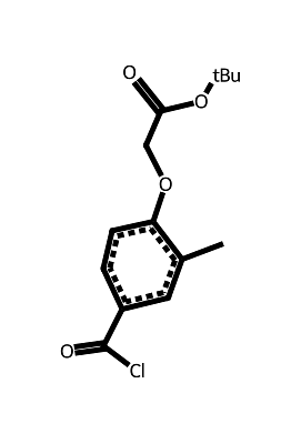 Cc1cc(C(=O)Cl)ccc1OCC(=O)OC(C)(C)C